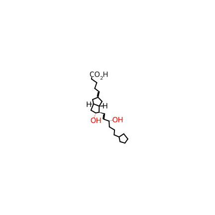 O=C(O)CCC/C=C1\C[C@@H]2C[C@@H](O)[C@H](/C=C/[C@H](O)CCCC3CCCC3)[C@H]2C1